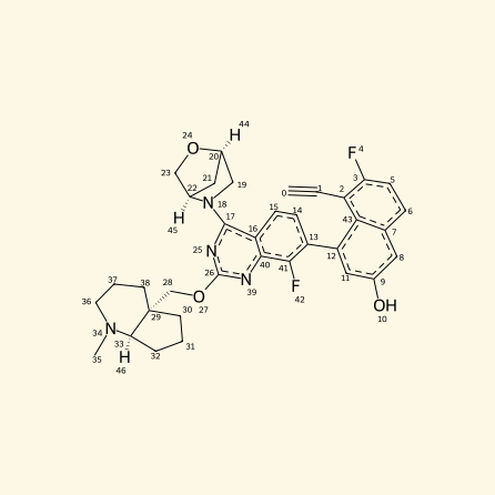 C#Cc1c(F)ccc2cc(O)cc(-c3ccc4c(N5C[C@H]6C[C@@H]5CO6)nc(OC[C@]56CCC[C@H]5N(C)CCC6)nc4c3F)c12